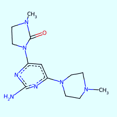 CN1CCN(c2cc(N3CCN(C)C3=O)nc(N)n2)CC1